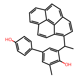 Cc1cc(-c2ccc(O)cc2)cc(C(C)c2ccc3ccc4cccc5ccc2c3c45)c1O